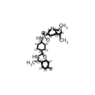 Cc1cn(C)c2ncc(S(=O)(=O)NC3CCC(C(=O)N[C@H](C)c4ccc(F)cc4)CC3)cc12